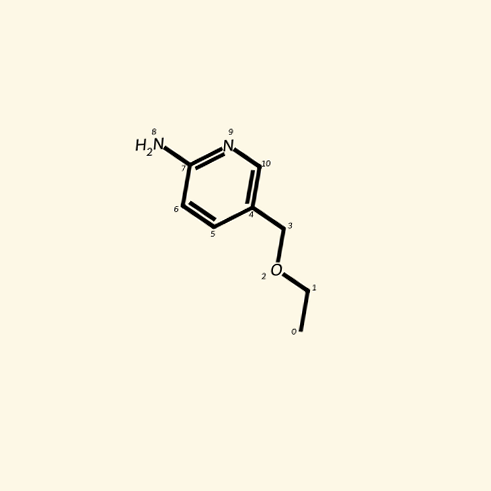 CCOCc1ccc(N)nc1